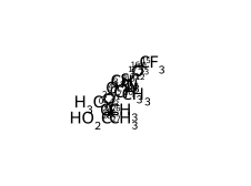 Cc1cc(OC(C)(C)c2sc(-c3ccc(C(F)(F)F)cc3)nc2C)ccc1OC(C)(C)C(=O)O